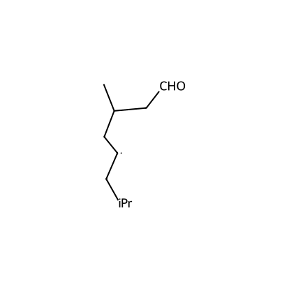 CC(C)C[CH]CC(C)CC=O